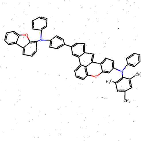 Cc1cc(C)c(N(c2ccccc2)c2ccc3c(c2)Oc2cccc4c2c-3cc2ccc(-c3ccc(N(c5ccccc5)c5cccc6c5oc5ccccc56)cc3)cc24)c(C)c1